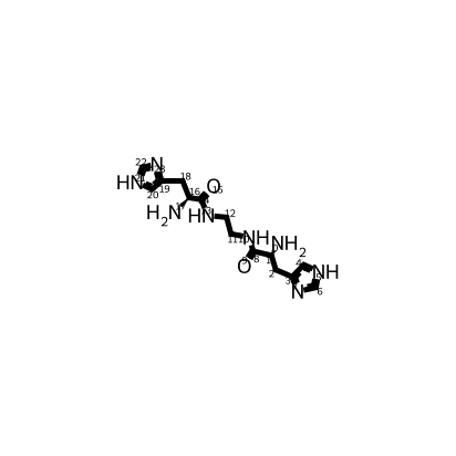 N[C@@H](Cc1c[nH]cn1)C(=O)NCCNC(=O)[C@@H](N)Cc1c[nH]cn1